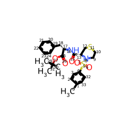 Cc1ccc(S(=O)(=O)N2CCSC[C@H]2C(=O)N[C@@H](Cc2ccccc2)C(=O)OC(C)(C)C)cc1